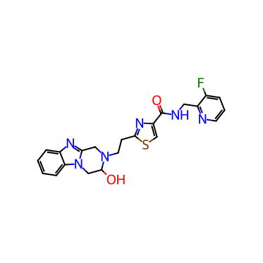 O=C(NCc1ncccc1F)c1csc(CCN2Cc3nc4ccccc4n3CC2O)n1